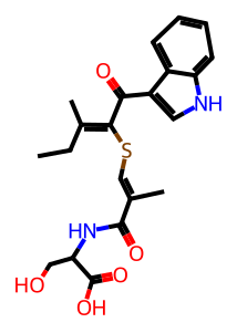 CC/C(C)=C(\S/C=C(\C)C(=O)NC(CO)C(=O)O)C(=O)c1c[nH]c2ccccc12